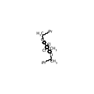 Cc1cc(OCCC(C)CCCC(C)C)ccc1-c1cc(Cl)c(-c2ccc(OCCC(C)CCCC(C)C)cc2)cc1Cl